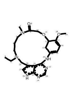 CCN1CCCN(C)C(=O)COC2CC(=CC=C2OC)Nc2ncnc3[nH]cc(c23)C1